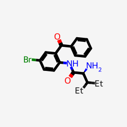 CCC(CC)[C@H](N)C(=O)Nc1ccc(Br)cc1C(=O)c1ccccc1